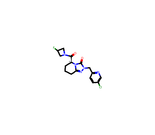 O=C([C@@H]1CCCc2nn(Cc3ccc(Cl)cn3)c(=O)n21)N1CC(F)C1